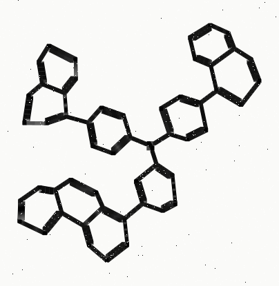 c1cc(-c2cccc3c2ccc2ccccc23)cc(N(c2ccc(-c3cccc4ccccc34)cc2)c2ccc(-c3cccc4ccccc34)cc2)c1